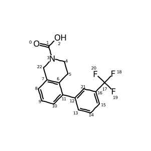 O=C(O)N1CCc2c(cccc2-c2cccc(C(F)(F)F)c2)C1